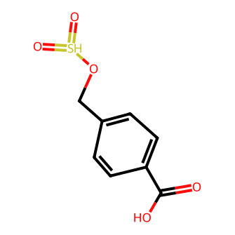 O=C(O)c1ccc(CO[SH](=O)=O)cc1